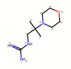 CC(C)(CNC(=N)N)N1CCOCC1